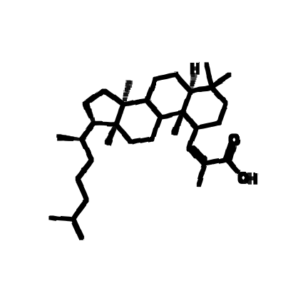 CC(=CC1CCC(C)(C)[C@@H]2CCC3C(CC[C@]4(C)[C@@H]([C@H](C)CCCC(C)C)CC[C@@]34C)[C@@]12C)C(=O)O